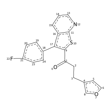 O=C(CCc1ccoc1)c1sc2ncccc2c1-c1ccc(F)cc1